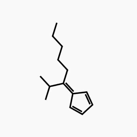 CCCCCC(=C1C=CC=C1)C(C)C